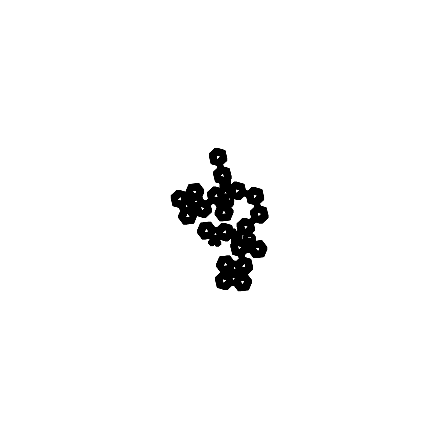 CC1(C)c2ccccc2-c2ccc(N(c3ccc(-c4cccc(-c5cccc(-c6ccc(N(c7ccc(-c8ccccc8)cc7)c7ccc(-c8cccc9c8-c8ccccc8C98c9ccccc9-c9ccccc98)c8c7oc7ccccc78)cc6)c5)c4)cc3)c3ccc(-c4cccc5c4-c4ccccc4C54c5ccccc5-c5ccccc54)c4c3oc3ccccc34)cc21